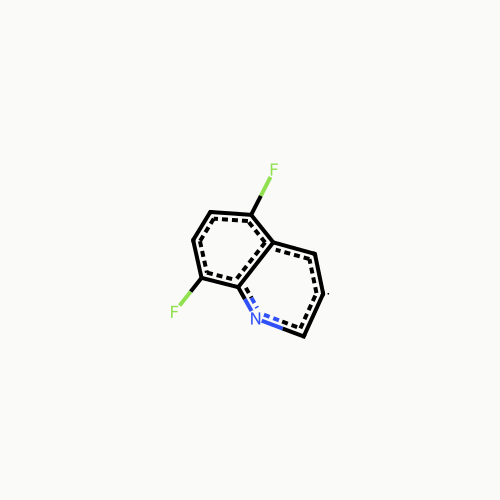 Fc1ccc(F)c2nc[c]cc12